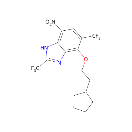 O=[N+]([O-])c1cc(C(F)(F)F)c(OCCC2CCCC2)c2nc(C(F)(F)F)[nH]c12